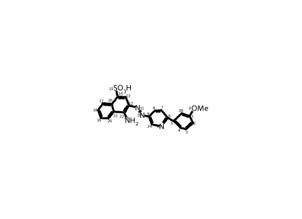 COc1cccc(-c2ccc(N=Nc3cc(S(=O)(=O)O)c4ccccc4c3N)cn2)c1